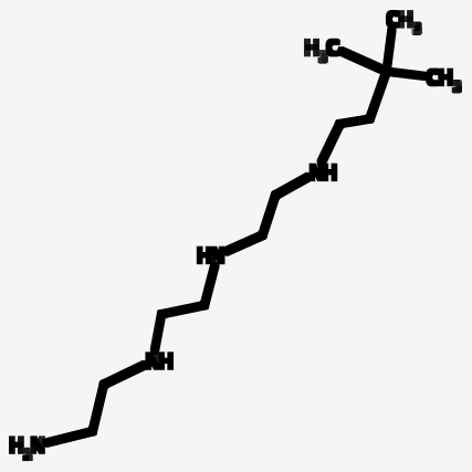 CC(C)(C)CCNCCNCCNCCN